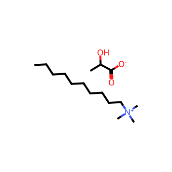 CC(O)C(=O)[O-].CCCCCCCCCC[N+](C)(C)C